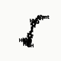 CCCCCNCC(=O)Nc1ccc(C#CC#Cc2ccc(C(=O)N[C@H](C(=O)NO)[C@@H](C)O)cc2)cc1